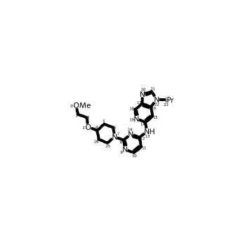 COCCOC1CCN(c2nccc(Nc3cc4c(cn3)ncn4C(C)C)n2)CC1